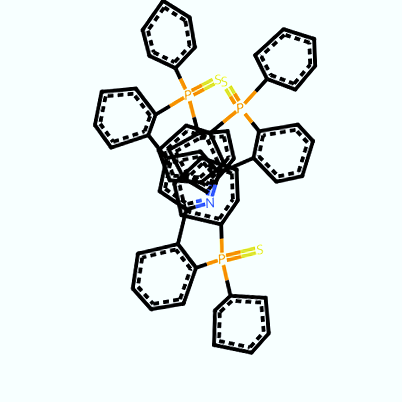 S=P(c1ccccc1)(c1ccccc1)c1ccccc1-c1cc(-c2ccccc2P(=S)(c2ccccc2)c2ccccc2)nc(-c2ccccc2P(=S)(c2ccccc2)c2ccccc2)c1